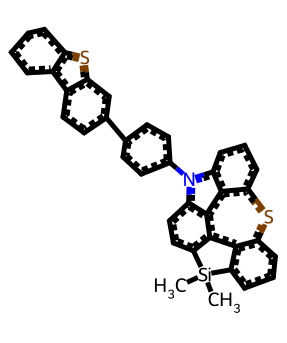 C[Si]1(C)c2cccc3sc4cccc5c4c4c(c1ccc4n5-c1ccc(-c4ccc5c(c4)sc4ccccc45)cc1)c23